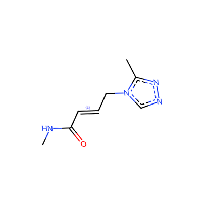 CNC(=O)/C=C/Cn1cnnc1C